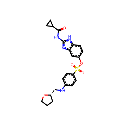 O=C(Nc1nc2cc(OS(=O)(=O)c3ccc(NC[C@@H]4CCCO4)cc3)ccc2[nH]1)C1CC1